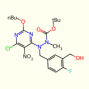 CCCCOc1nc(Cl)c([N+](=O)[O-])c(N(Cc2ccc(F)c(CO)c2)N(C)C(=O)OC(C)(C)C)n1